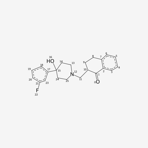 O=C1c2ccccc2CCC1CN1CCC(O)(c2cccc(F)c2)CC1